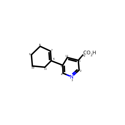 O=C(O)c1cncc(C2=CCCCC2)c1